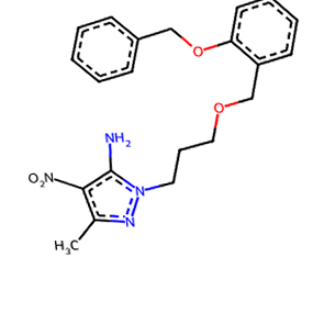 Cc1nn(CCCOCc2ccccc2OCc2ccccc2)c(N)c1[N+](=O)[O-]